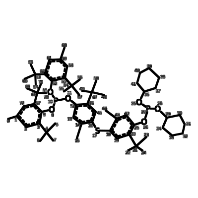 Cc1cc(C(C)(C)C)c(OP(Oc2cc(C)c(Sc3cc(C(C)(C)C)c(OP(OC4CCCCC4)OC4CCCCC4)cc3C)cc2C(C)(C)C)Oc2c(C(C)(C)C)cc(C)cc2C(C)(C)C)c(C(C)(C)C)c1